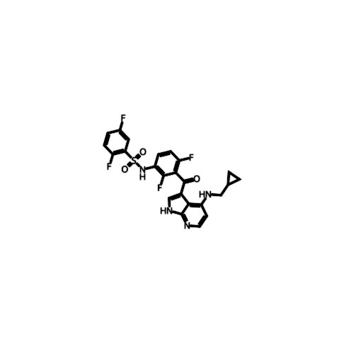 O=C(c1c(F)ccc(NS(=O)(=O)c2cc(F)ccc2F)c1F)c1c[nH]c2nccc(NCC3CC3)c12